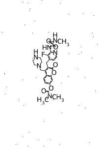 CNS(=O)(=O)Nc1nccc(Cc2c(CN3CCNCC3)c3ccc(OC(=O)N(C)C)cc3oc2=O)c1F